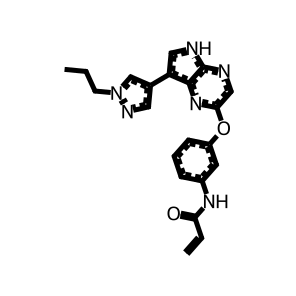 C=CC(=O)Nc1cccc(Oc2cnc3[nH]cc(-c4cnn(CCC)c4)c3n2)c1